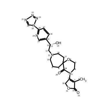 CC1=C(N2CCOC3(CCCN(C[C@@H](O)c4ccc(-n5cnnn5)nc4)CC3)C2=O)COC1=O